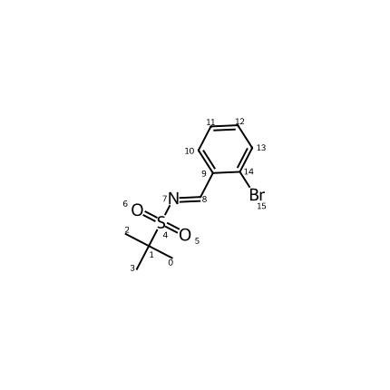 CC(C)(C)S(=O)(=O)N=Cc1ccccc1Br